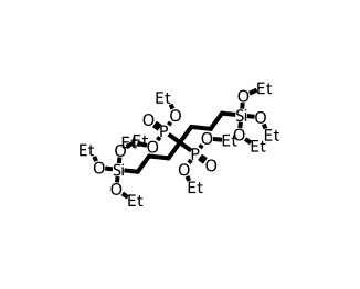 CCO[Si](CCCC(CCC[Si](OCC)(OCC)OCC)(P(=O)(OCC)OCC)P(=O)(OCC)OCC)(OCC)OCC